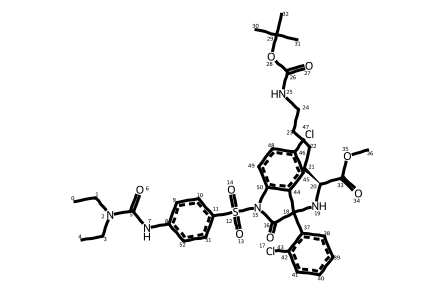 CCN(CC)C(=O)Nc1ccc(S(=O)(=O)N2C(=O)C(N[C@@H](CCCCNC(=O)OC(C)(C)C)C(=O)OC)(c3ccccc3Cl)c3cc(Cl)ccc32)cc1